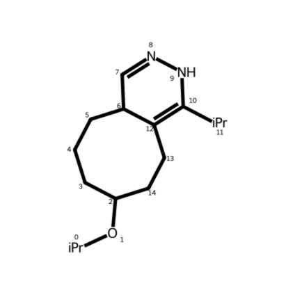 CC(C)OC1CCCC2C=NNC(C(C)C)=C2CC1